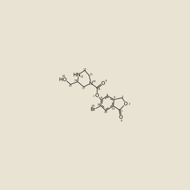 O=C1OCc2cc(OC(=O)N3CCNC(CO)C3)c(Br)cc21